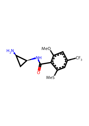 COc1cc(C(F)(F)F)cc(SC)c1C(=O)N[C@H]1C[C@H]1N